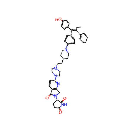 CC/C(=C(\c1ccc(O)cc1)c1ccc(N2CCC(CCN3CCN(c4ccc5c(n4)CN(C4CCC(=O)NC4=O)C5=O)CC3)CC2)cc1)c1ccccc1